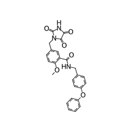 COc1ccc(CN2C(=O)NC(=O)C2=O)cc1C(=O)NCc1ccc(Oc2ccccc2)cc1